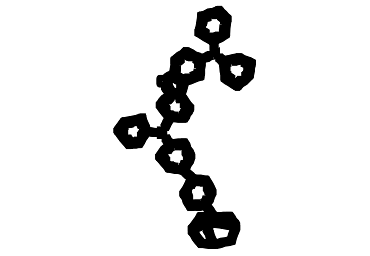 c1ccc(N(c2ccc(-c3ccc(C45CC6CC(CC(C6)C4)C5)cc3)cc2)c2ccc3c(c2)oc2ccc(N(c4ccccc4)c4ccccc4)cc23)cc1